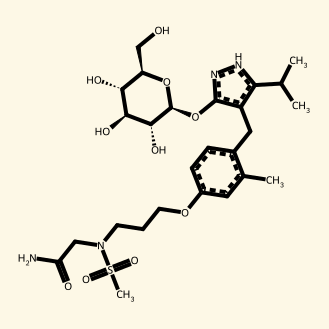 Cc1cc(OCCCN(CC(N)=O)S(C)(=O)=O)ccc1Cc1c(O[C@@H]2O[C@H](CO)[C@@H](O)[C@H](O)[C@H]2O)n[nH]c1C(C)C